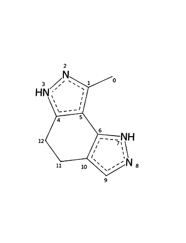 Cc1n[nH]c2c1-c1[nH]ncc1CC2